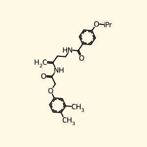 C=C(CCNC(=O)c1ccc(OC(C)C)cc1)NC(=O)COc1ccc(C)c(C)c1